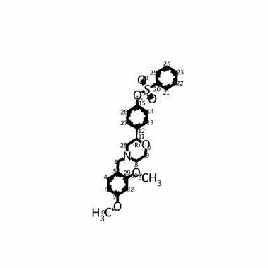 COc1ccc(CN2CCO[C@H](c3ccc(OS(=O)(=O)c4ccccc4)cc3)C2)c(OC)c1